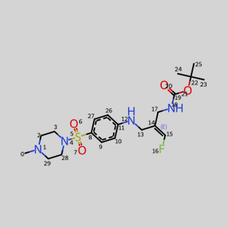 CN1CCN(S(=O)(=O)c2ccc(NC/C(=C\F)CNC(=O)OC(C)(C)C)cc2)CC1